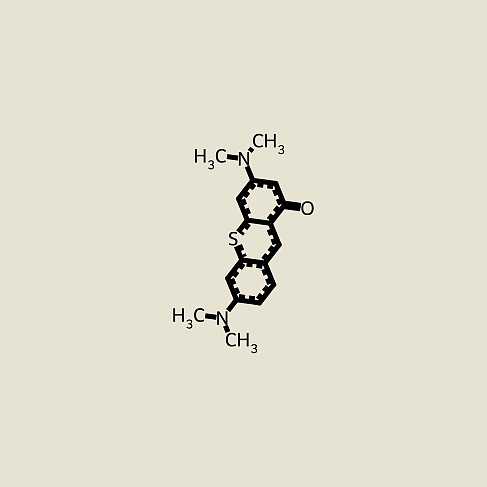 CN(C)c1cc2sc3cc(N(C)C)ccc3cc-2c(=O)c1